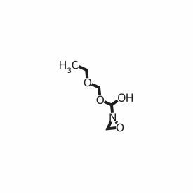 CCOCOC(O)N1CO1